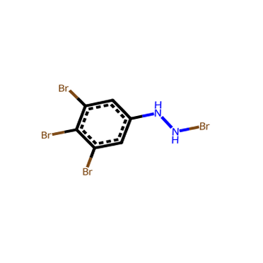 BrNNc1cc(Br)c(Br)c(Br)c1